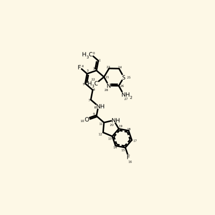 C/C=C(\C(F)=C/CCNC(=O)C1Cc2cc(F)ccc2N1)C1(C)CCSC(N)=N1